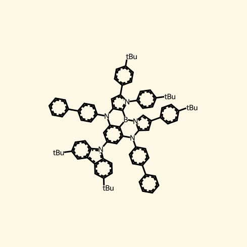 CC(C)(C)c1ccc(-c2cc3n(c2)B2c4c(cc(-n5c6ccc(C(C)(C)C)cc6c6cc(C(C)(C)C)ccc65)cc4N3c3ccc(-c4ccccc4)cc3)N(c3ccc(-c4ccccc4)cc3)c3cc(-c4ccc(C(C)(C)C)cc4)n(-c4ccc(C(C)(C)C)cc4)c32)cc1